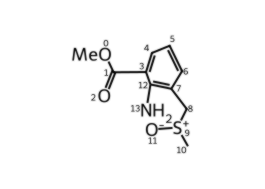 COC(=O)c1cccc(C[S+](C)[O-])c1N